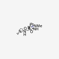 CN/C=C1\C(=N)C(=O)N(CC(=O)NC2CCCN(C3CC3)C2)N=C1C(C)C